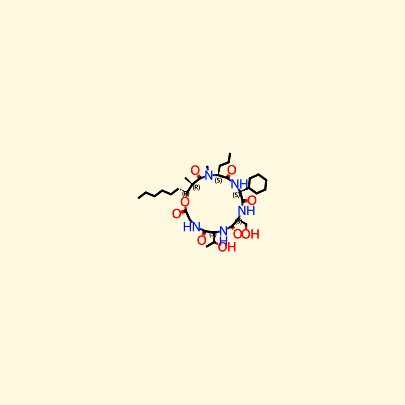 CCCCCC[C@H]1OC(=O)CNC(=O)[C@H](C(C)O)NC(=O)[C@H](CO)NC(=O)[C@H](C2CCCCC2)NC(=O)[C@H](CCC)N(C)C(=O)[C@@H]1C